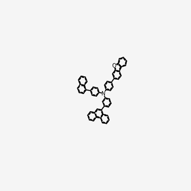 c1cc(-c2cc3ccccc3c3ccccc23)cc(N(c2ccc(-c3ccc4c(c3)oc3ccccc34)cc2)c2ccc(-c3cccc4ccccc34)cc2)c1